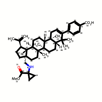 C=C(C)[C@@H]1CC[C@]2(CNC3(C(=O)OC)CC3)CC[C@]3(C)[C@H](CC[C@@H]4[C@@]5(C)CC=C(c6ccc(C(=O)O)cc6)C(C)(C)[C@@H]5CC[C@]43C)[C@@H]12